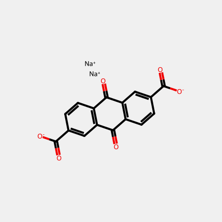 O=C([O-])c1ccc2c(c1)C(=O)c1ccc(C(=O)[O-])cc1C2=O.[Na+].[Na+]